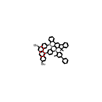 Cc1cc(-c2ccccc2)ccc1N1c2ccc(N(c3ccc(C(C)(C)C)cc3)c3ccc(C(C)(C)C)cc3)cc2B2c3c(cc4c(c31)C(C)(C)c1ccccc1-4)-c1ccccc1N2c1cccc(-c2ccccc2)c1